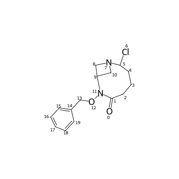 O=C1CCCC(Cl)N2CC(C2)N1OCc1ccccc1